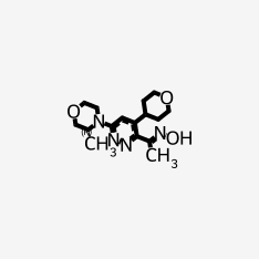 CC(=NO)c1nnc(N2CCOC[C@H]2C)cc1C1CCOCC1